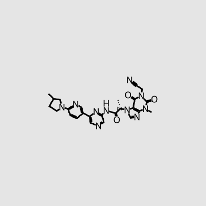 CC1CCN(c2ccc(-c3cncc(NC(=O)[C@H](C)n4cnc5c4c(=O)n(CC#N)c(=O)n5C)n3)cn2)C1